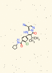 CC(C)c1c(-c2ccc(C(=O)NC3CCCC3)c(Cl)c2)[nH]c2c(C#N)cnn2c1=O